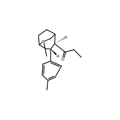 CCC(=O)[C@@H]1C2CCC(C[C@H]1c1ccc(C)cc1)N(C)C2